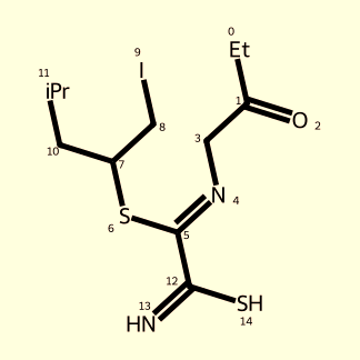 CCC(=O)C/N=C(\SC(CI)CC(C)C)C(=N)S